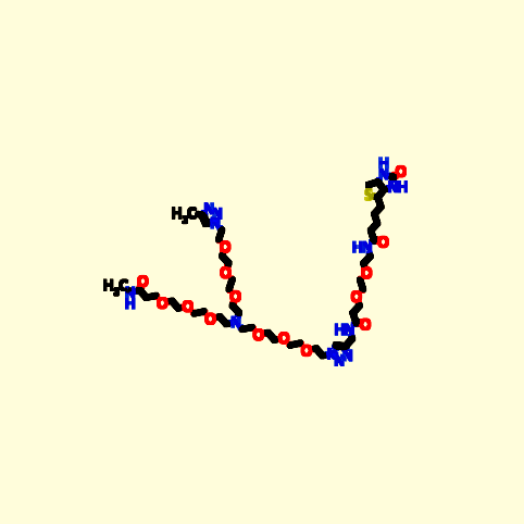 CNC(=O)CCOCCOCCOCCN(CCOCCOCCOCCn1cc(C)nn1)CCOCCOCCOCCn1cc(CNC(=O)CCOCCOCCNC(=O)CCCCC2SCC3NC(=O)NC32)nn1